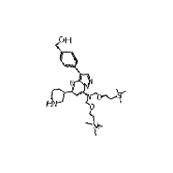 C[Si](C)(C)CCOCN(COCC[Si](C)(C)C)c1cc(C2CCCNC2)nc2c(-c3ccc(CO)cc3)cnn12